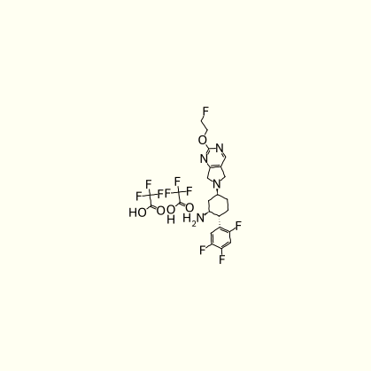 N[C@H]1C[C@@H](N2Cc3cnc(OCCF)nc3C2)CC[C@@H]1c1cc(F)c(F)cc1F.O=C(O)C(F)(F)F.O=C(O)C(F)(F)F